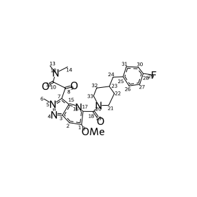 COc1cc2nn(C)c(C(=O)C(=O)N(C)C)c2nc1C(=O)N1CCC(Cc2ccc(F)cc2)CC1